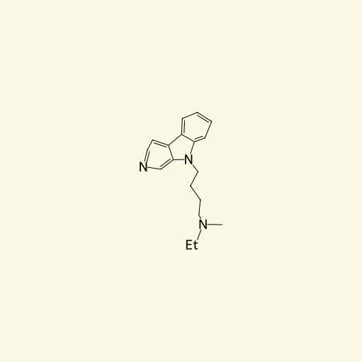 CCN(C)CCCCn1c2ccccc2c2ccncc21